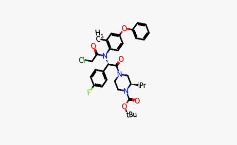 Cc1cc(Oc2ccccc2)ccc1N(C(=O)CCl)[C@H](C(=O)N1CCN(C(=O)OC(C)(C)C)[C@H](C(C)C)C1)c1ccc(F)cc1